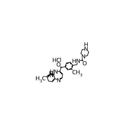 Cc1cc(C(=O)C2=CC=NC3=CCC=C4N(C)N=CC34N2)ccc1CNC(=O)N1CCNCC1.Cl